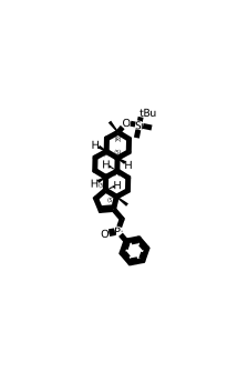 CC(C)(C)[Si](C)(C)O[C@]1(C)CC[C@H]2[C@H](CC[C@@H]3[C@@H]2CC[C@]2(C)C(C[P](=O)c4ccccc4)=CC[C@@H]32)C1